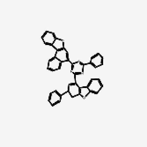 C1=C(c2nc(-c3ccccc3)nc(-c3cc4sc5ccccc5c4c4ccccc34)n2)c2c(oc3ccccc23)CC1c1ccccc1